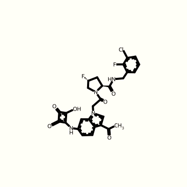 CC(=O)c1cn(CC(=O)N2C[C@H](F)C[C@H]2C(=O)NCc2cccc(Cl)c2F)c2cc(Nc3c(O)c(=O)c3=O)ccc12